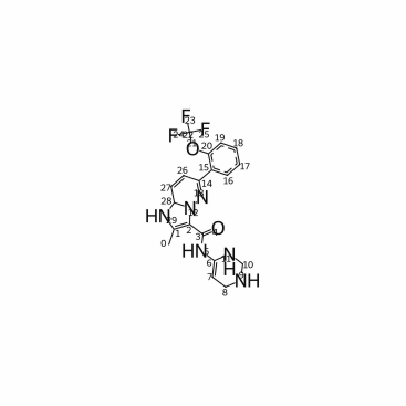 CC1=C(C(=O)NC2=CCNCN2)N2N=C(c3ccccc3OC(F)(F)F)C=CC2N1